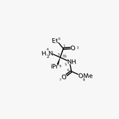 CCC(=O)[C@@](N)(NC(=O)OC)C(C)C